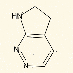 [c]1cnnc2c1CCN2